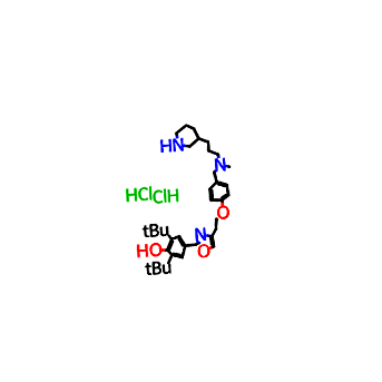 CN(CCCC1CCCNC1)Cc1ccc(OCCc2coc(-c3cc(C(C)(C)C)c(O)c(C(C)(C)C)c3)n2)cc1.Cl.Cl